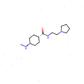 O=C(NCCN1CCCC1)[C@H]1CC[C@H](NI)CC1